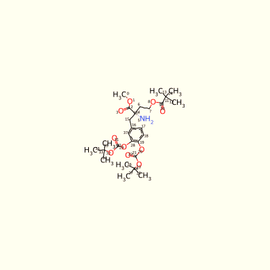 COC(=O)[C@@](N)(CCOC(=O)C(C)(C)C)Cc1ccc(OC(=O)OC(C)(C)C)c(OC(=O)OC(C)(C)C)c1